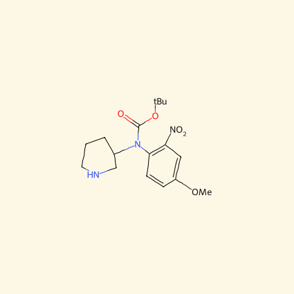 COc1ccc(N(C(=O)OC(C)(C)C)C2CCCNC2)c([N+](=O)[O-])c1